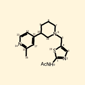 CC(=O)Nc1ncc(CN2CCCC(c3ccnc(C)c3)C2)s1